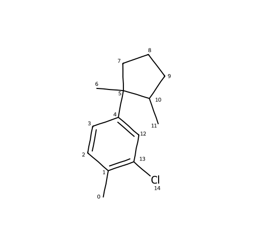 Cc1ccc(C2(C)CCCC2C)cc1Cl